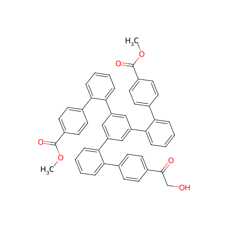 COC(=O)c1ccc(-c2ccccc2-c2cc(-c3ccccc3-c3ccc(C(=O)CO)cc3)cc(-c3ccccc3-c3ccc(C(=O)OC)cc3)c2)cc1